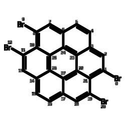 Brc1cc2ccc3cc(Br)c4c(Br)cc5ccc6cc(Br)c1c1c2c3c4c5c61